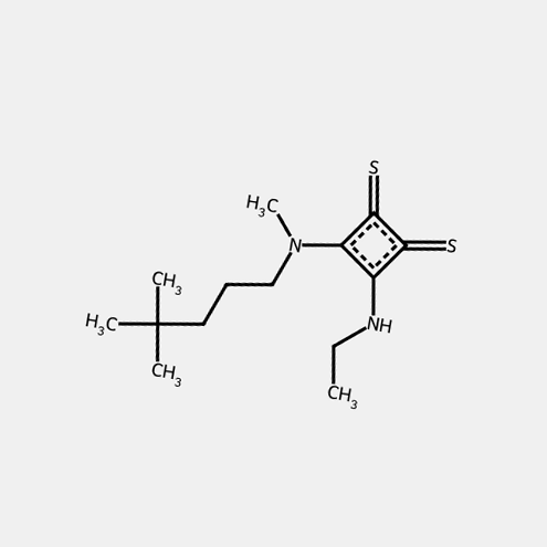 CCNc1c(N(C)CCCC(C)(C)C)c(=S)c1=S